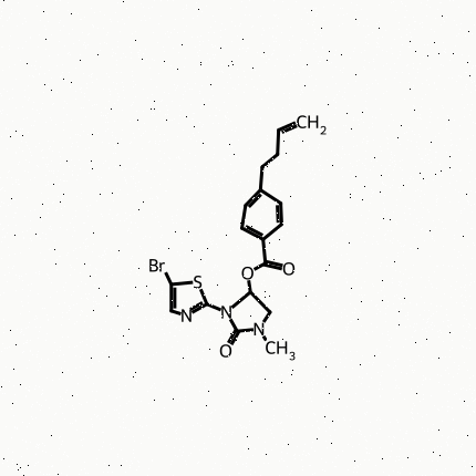 C=CCCc1ccc(C(=O)OC2CN(C)C(=O)N2c2ncc(Br)s2)cc1